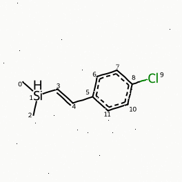 C[SiH](C)C=Cc1ccc(Cl)cc1